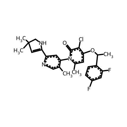 Cc1cnc(C2=CC(C)(C)CN2)cc1-n1c(C)cc(OC(C)c2ccc(F)cc2F)c(Cl)c1=O